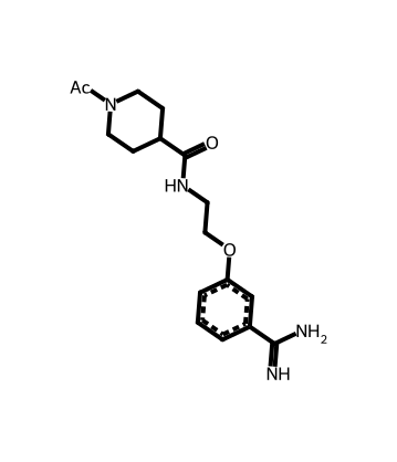 CC(=O)N1CCC(C(=O)NCCOc2cccc(C(=N)N)c2)CC1